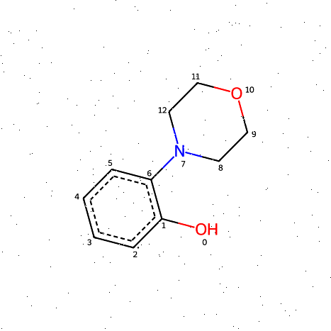 Oc1[c]cccc1N1CCOCC1